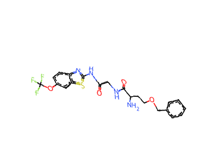 NC(CCOCc1ccccc1)C(=O)NCC(=O)Nc1nc2ccc(OC(F)(F)F)cc2s1